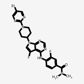 CCc1cnc(N2CCC(n3cc(F)c4c(Nc5ccc(C(=O)N(C)C)cc5F)ncnc43)CC2)nc1